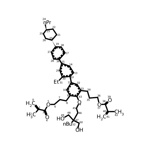 C=C(C)C(=O)OCCCc1cc(-c2ccc(-c3ccc([C@H]4CC[C@H](CCC)CC4)cc3)cc2CC)cc(CCCOC(=O)C(=C)C)c1OCCC(CO)(CO)CCCC